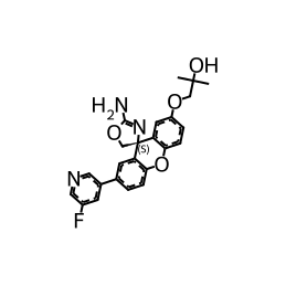 CC(C)(O)COc1ccc2c(c1)[C@]1(COC(N)=N1)c1cc(-c3cncc(F)c3)ccc1O2